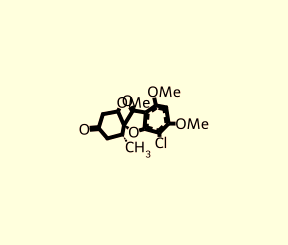 COc1cc(OC)c2c(c1Cl)O[C@]1(C2=O)C(OC)CC(=O)C[C@H]1C